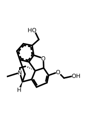 CN1CC[C@@]23C4=CC=C(OCO)C2Oc2c(CO)ccc(c23)C[C@H]41